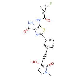 CN1CC[C@@](O)(C#Cc2cccc(-c3nc(C(N)=O)c(NC(=O)[C@H]4C[C@@H]4F)s3)c2)C1=O